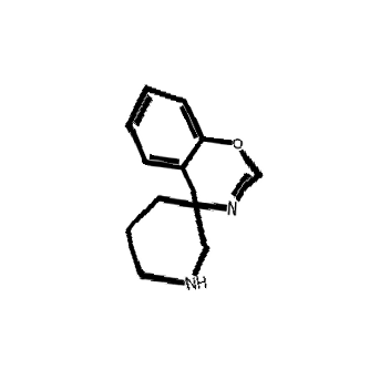 C1=NC2(CCCNC2)c2ccccc2O1